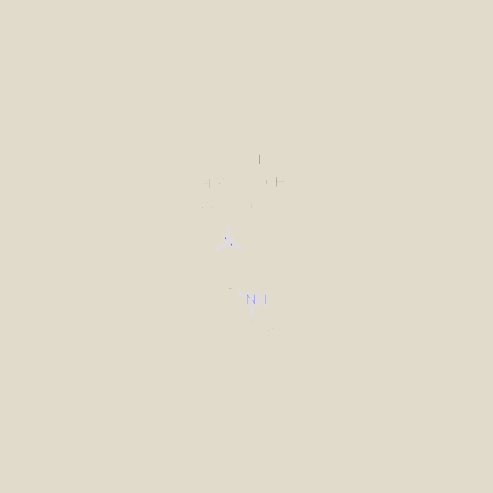 CC(C)(C)OC(=O)N1CCC2(CCCC(=O)N2)CC1